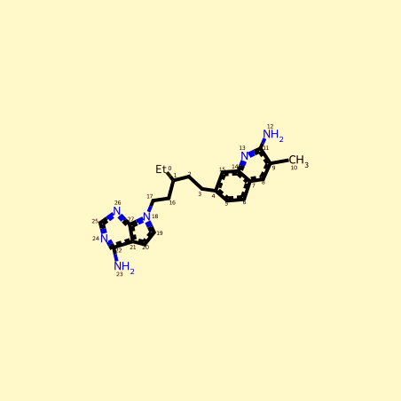 CCC(CCc1ccc2cc(C)c(N)nc2c1)CCn1ccc2c(N)ncnc21